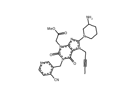 CC#CCn1c(N2CCCC(N)C2)nc2c1c(=O)n(Cc1cnccc1C#N)c(=O)n2CC(=O)OC